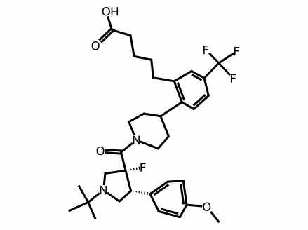 COc1ccc([C@@H]2CN(C(C)(C)C)C[C@@]2(F)C(=O)N2CCC(c3ccc(C(F)(F)F)cc3CCCCC(=O)O)CC2)cc1